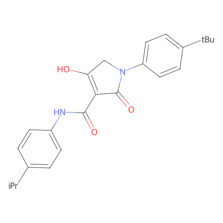 CC(C)c1ccc(NC(=O)C2=C(O)CN(c3ccc(C(C)(C)C)cc3)C2=O)cc1